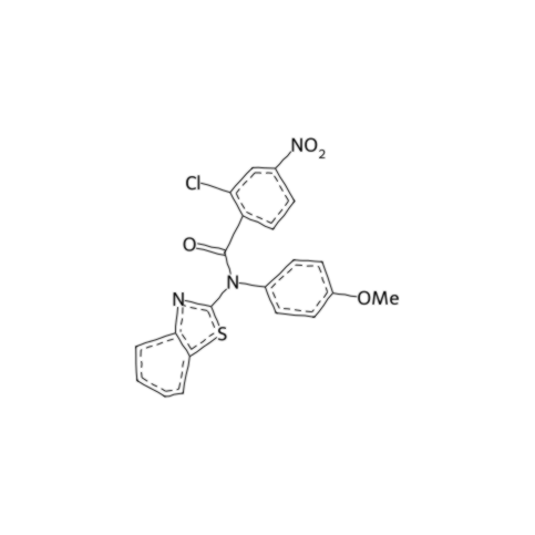 COc1ccc(N(C(=O)c2ccc([N+](=O)[O-])cc2Cl)c2nc3ccccc3s2)cc1